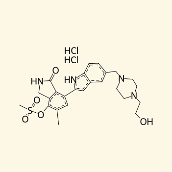 Cc1cc(-c2cc3cc(CN4CCN(CCO)CC4)ccc3[nH]2)c2c(c1OS(C)(=O)=O)CNC2=O.Cl.Cl